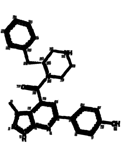 Cc1n[nH]c2nc(-c3ccc(O)cc3)cc(C(=O)N3CCNC[C@H]3Cc3ccccc3)c12